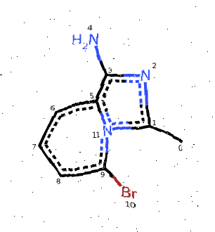 Cc1nc(N)c2cccc(Br)n12